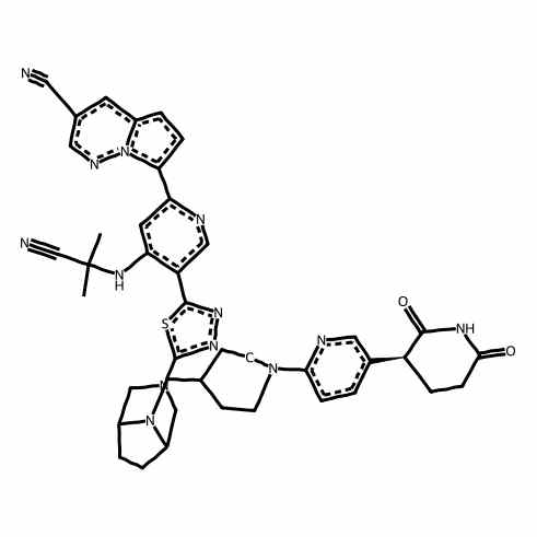 CC(C)(C#N)Nc1cc(-c2ccc3cc(C#N)cnn23)ncc1-c1nnc(N2CC3CCC(C2)N3CC2CCN(c3ccc([C@@H]4CCC(=O)NC4=O)cn3)CC2)s1